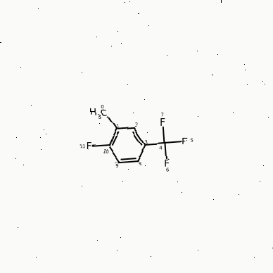 Cc1cc(C(F)(F)F)c[c]c1F